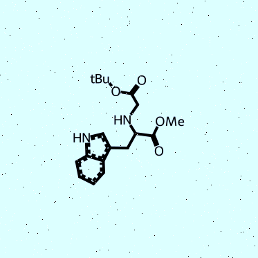 COC(=O)C(Cc1c[nH]c2ccccc12)NCC(=O)OC(C)(C)C